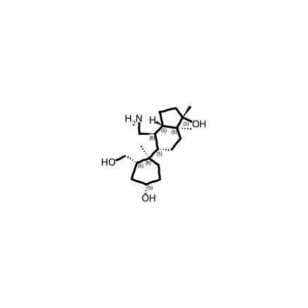 C[C@]1([C@H]2CC[C@@]3(C)[C@@H](CC[C@]3(C)O)[C@@H]2CN)CC[C@H](O)C[C@@H]1CO